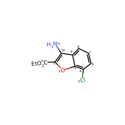 CCOC(=O)c1oc2c(Cl)cccc2c1N